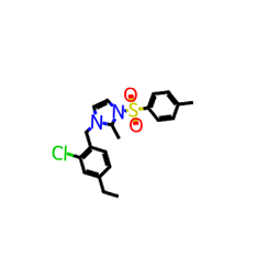 CCc1ccc(CN2C=CN(S(=O)(=O)c3ccc(C)cc3)C2C)c(Cl)c1